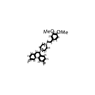 COc1ccc(CCN2CCN(C(Cc3ccc(F)cc3)c3ccc(F)cc3)CC2)cc1OC